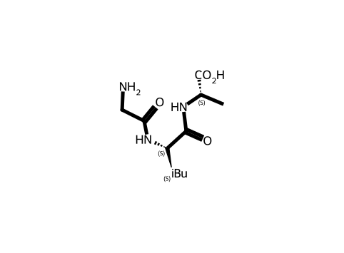 CC[C@H](C)[C@H](NC(=O)CN)C(=O)N[C@@H](C)C(=O)O